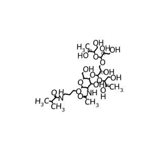 CC(=O)NC1C(OCCCNC(=O)C(C)C)OC(CO)C(OC(OC(CO)[C@@H](C)O)[C@@H](O)COC(OC(CO)[C@@H](C)O)[C@@H](O)CO)C1O